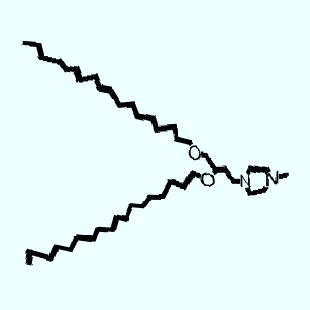 CCCCCC=CCC=CCCCCCCCCOCC(CCN1CCN(C)CC1)OCCCCCCCCC=CCC=CCCCCC